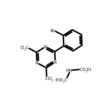 CCOC(=O)NC(=O)OCC.ClC(Cl)(Cl)c1nc(-c2ccccc2Br)nc(C(Cl)(Cl)Cl)n1